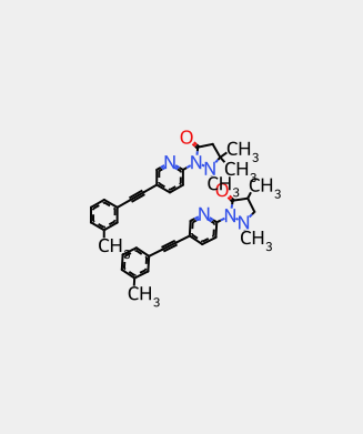 Cc1cccc(C#Cc2ccc(N3C(=O)C(C)CN3C)nc2)c1.Cc1cccc(C#Cc2ccc(N3C(=O)CC(C)(C)N3C)nc2)c1